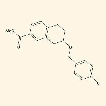 COC(=O)c1ccc2c(c1)CC(OCc1ccc(Cl)cc1)CC2